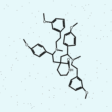 COc1ccc(C(CC2(CC(c3ccc(OC)cc3)N(C)CCc3cccc(OC)c3)CCCNC2=O)N(C)CCc2cccc(OC)c2)cc1